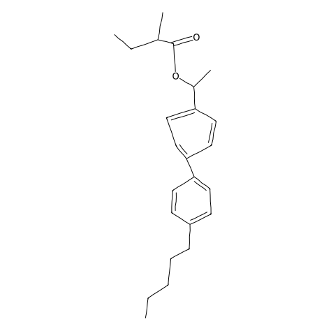 CCCCCc1ccc(-c2ccc(C(C)OC(=O)C(C)CC)cc2)cc1